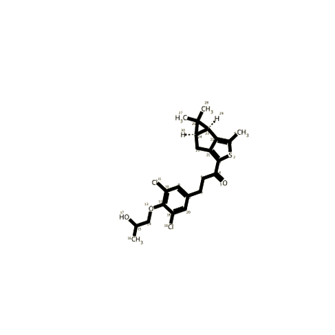 Cc1sc(C(=O)CCc2cc(Cl)c(OCC(C)O)c(Cl)c2)c2c1[C@H]1[C@@H](C2)C1(C)C